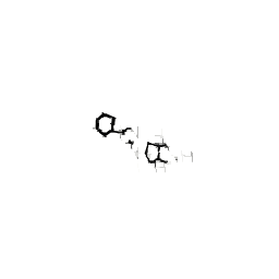 c1ccc(-c2cnc(N[C@@H]3C[C@H]4CNC[C@H]4C3)s2)cc1